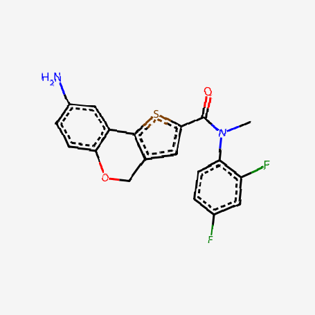 CN(C(=O)c1cc2c(s1)-c1cc(N)ccc1OC2)c1ccc(F)cc1F